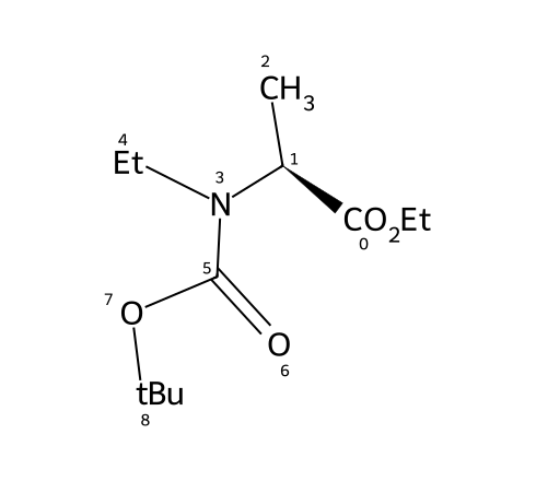 CCOC(=O)[C@H](C)N(CC)C(=O)OC(C)(C)C